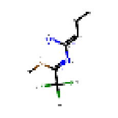 CC/C=C(N)/N=C(\SC)C(F)(F)F